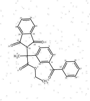 CCOC(=O)C(C)(c1cccc(C(=O)c2ccccc2)c1)N1C(=O)c2ccccc2C1=O